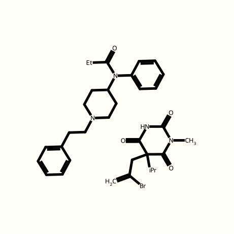 C=C(Br)CC1(C(C)C)C(=O)NC(=O)N(C)C1=O.CCC(=O)N(c1ccccc1)C1CCN(CCc2ccccc2)CC1